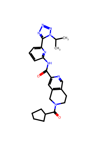 CC(C)n1nnnc1-c1cccc(NC(=O)c2cc3c(cn2)CCN(C(=O)C2CCCC2)C3)n1